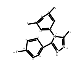 Cc1cc(C)cc(-n2c(C)nnc2-c2ccc(F)cc2)c1